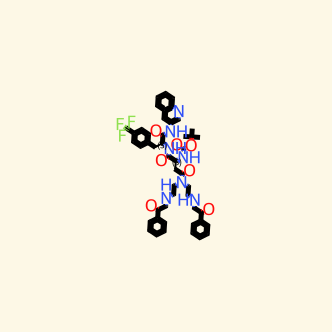 CC(C)(C)OC(=O)N[C@@H](CC(=O)N(CCNCC(=O)c1ccccc1)CCNCC(=O)c1ccccc1)C(=O)N[C@@H](Cc1ccc(C(F)(F)F)cc1)C(=O)Nc1cnc2ccccc2c1